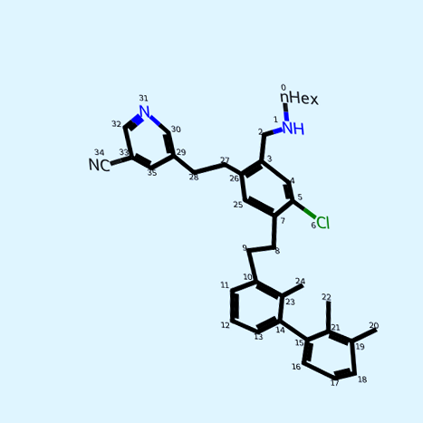 CCCCCCNCc1cc(Cl)c(CCc2cccc(-c3cccc(C)c3C)c2C)cc1CCc1cncc(C#N)c1